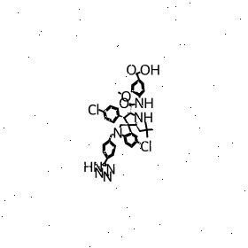 COc1cc(C(=O)O)ccc1NC(=O)[C@@H]1N[C@@H](CC(C)(C)C)[C@@]2(CN(Cc3ccc(-c4nnn[nH]4)cc3)c3ccc(Cl)cc32)[C@H]1c1ccc(Cl)cc1